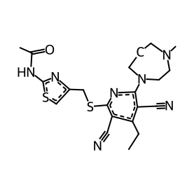 CCc1c(C#N)c(SCc2csc(NC(C)=O)n2)nc(N2CCCN(C)CC2)c1C#N